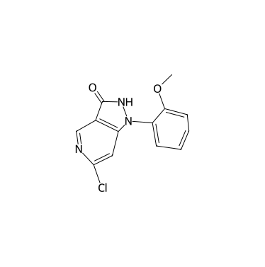 COc1ccccc1-n1[nH]c(=O)c2cnc(Cl)cc21